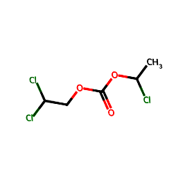 CC(Cl)OC(=O)OCC(Cl)Cl